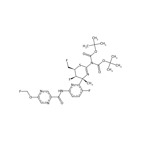 CC(C)(C)OC(=O)N(C(=O)OC(C)(C)C)C1=N[C@](C)(c2nc(NC(=O)c3cnc(OCF)cn3)ccc2F)[C@@H](F)[C@@H](CF)S1